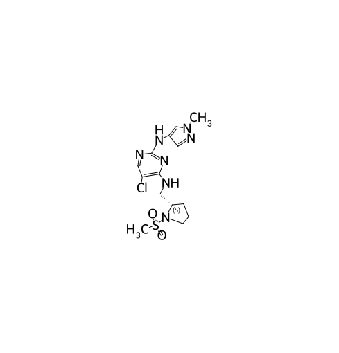 Cn1cc(Nc2ncc(Cl)c(NC[C@@H]3CCCN3S(C)(=O)=O)n2)cn1